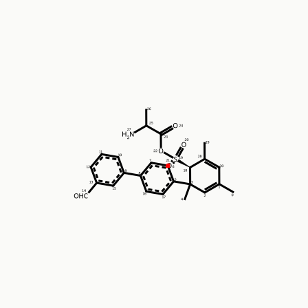 CC1=CC(C)(c2ccc(-c3cccc(C=O)c3)cc2)[C@@H](S(=O)(=O)OC(=O)C(C)N)C(C)=C1